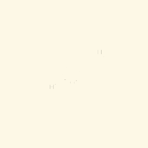 C=CCCC[Si](C)(OCC)OCC